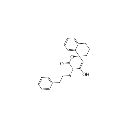 O=C1OC2(C=C(O)C1SCCc1ccccc1)CCCc1ccccc12